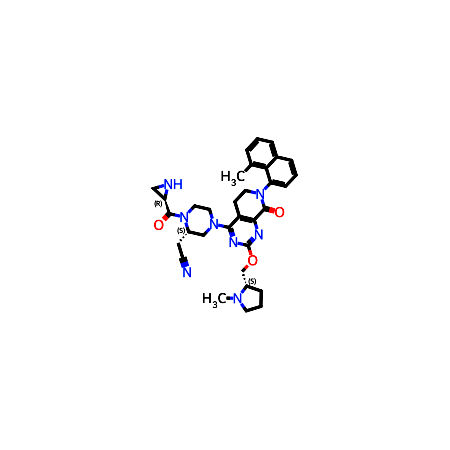 Cc1cccc2cccc(N3CCc4c(nc(OC[C@@H]5CCCN5C)nc4N4CCN(C(=O)[C@H]5CN5)[C@@H](CC#N)C4)C3=O)c12